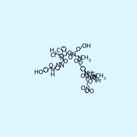 Cc1cccc2c(OC(=O)N(CCOCCO)CCN(C)C(=O)OCc3ccc(NC(=O)[C@H](CCCCN4C(=O)C=CC4=O)NC(=O)[C@H](C(C)C)N(C)C)cc3)cc3c(c12)[C@H](CCl)CN3C(=O)c1cn2cc(NC(=O)c3ccc(O)cc3)ccc2n1